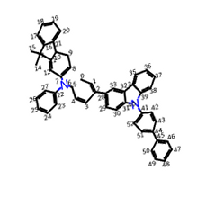 C/C=C(\C=C/CN(C1=CCC2C(=C1)C(C)(C)c1ccccc12)c1ccccc1)c1ccc2c(c1)c1ccccc1n2-c1ccc(-c2ccccc2)cc1